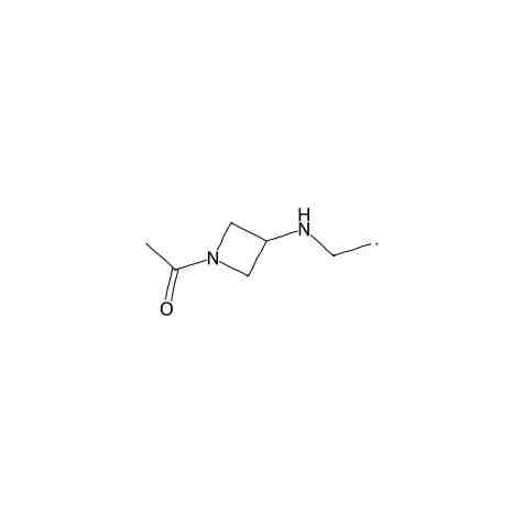 [CH2]CNC1CN(C(C)=O)C1